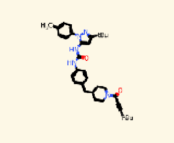 CCCCC#CC(=O)N1CCC(Cc2ccc(NC(=O)Nc3cc(C(C)(C)C)nn3-c3ccc(C)cc3)cc2)CC1